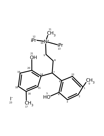 Cc1ccc(O)c(C(CC[N+](C)(C(C)C)C(C)C)c2cc(C)ccc2O)c1.[I-]